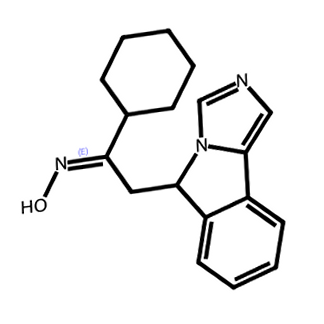 O/N=C(\CC1c2ccccc2-c2cncn21)C1CCCCC1